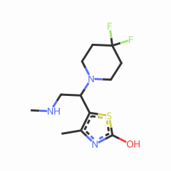 CNCC(c1sc(O)nc1C)N1CCC(F)(F)CC1